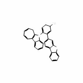 NC1C=C(c2ccc3c(c2)sc2ccccc23)C(n2c3c(c4ccccc42)C=CC=CC3)=CC1